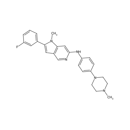 CN1CCN(c2ccc(Nc3cc4c(cn3)cc(-c3cccc(F)c3)n4C)cc2)CC1